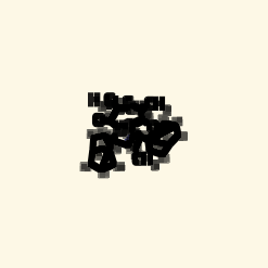 C=C(C)C(=O)OC1(/C=C/C2C3CC4CC(C3)C(OC(=O)C(=C)C)(C(C)CC)C2C4)C2CC3CC(C2)CC1C3